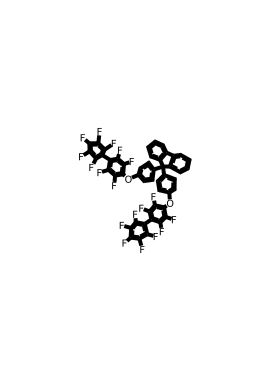 Fc1c(F)c(F)c(-c2c(F)c(F)c(Oc3ccc(C4(c5ccc(Oc6c(F)c(F)c(-c7c(F)c(F)c(F)c(F)c7F)c(F)c6F)cc5)c5ccccc5-c5ccccc54)cc3)c(F)c2F)c(F)c1F